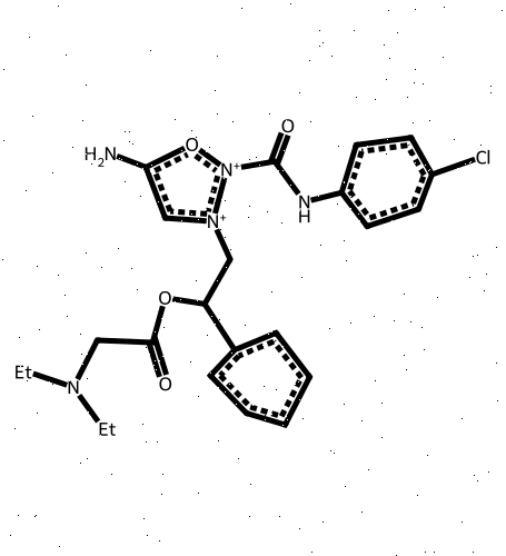 CCN(CC)CC(=O)OC(C[n+]1cc(N)o[n+]1C(=O)Nc1ccc(Cl)cc1)c1ccccc1